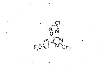 FC(F)(F)c1ccc(-c2nc(C(F)(F)F)ncc2Oc2ncc(Cl)cn2)cc1